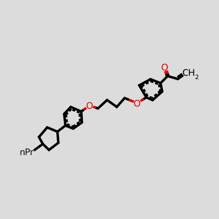 C=CC(=O)c1ccc(OCCCCOc2ccc(C3CCC(CCC)CC3)cc2)cc1